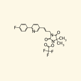 CC1(C)C(=O)N(CC=Cc2ccc(-c3ccc(F)cc3)nc2)C(=O)N1OC(=O)C(F)(F)F